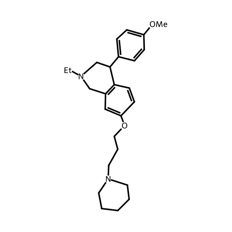 CCN1Cc2cc(OCCCN3CCCCC3)ccc2C(c2ccc(OC)cc2)C1